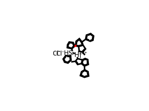 CC1=Cc2c(-c3ccccc3)cccc2[CH]1[Hf+2]([CH]1C(C)=Cc2c(-c3ccccc3)cccc21)[SiH](c1ccccc1)c1ccccc1.[Cl-].[Cl-]